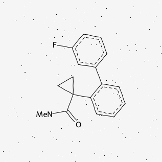 CNC(=O)C1(c2ccccc2-c2cccc(F)c2)CC1